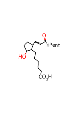 CCCCCC(=O)C=CC1CCC(O)C1CCCCCC(=O)O